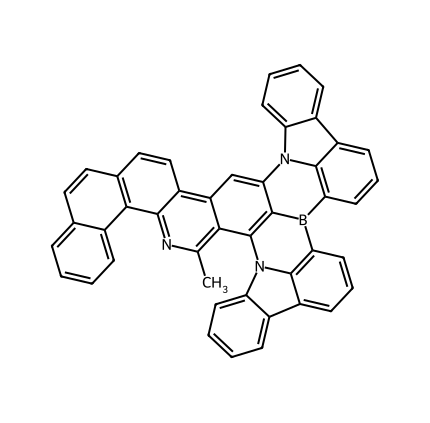 Cc1nc2c(ccc3ccc4ccccc4c32)c2cc3c4c(c12)-n1c2ccccc2c2cccc(c21)B4c1cccc2c4ccccc4n-3c12